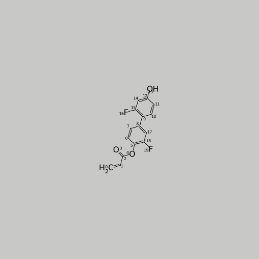 C=CC(=O)Oc1ccc(-c2ccc(O)cc2F)cc1F